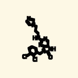 O=c1[nH]c2cnc(NCCCn3ccnc3)nc2n1Cc1cccc(Cl)c1Cl